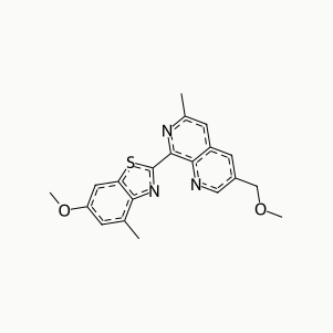 COCc1cnc2c(-c3nc4c(C)cc(OC)cc4s3)nc(C)cc2c1